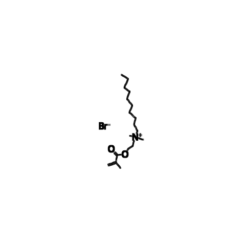 C=C(C)C(=O)OCC[N+](C)(C)CCCCCCCCCC.[Br-]